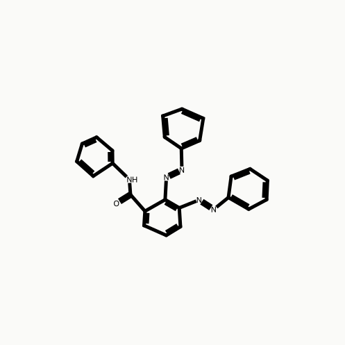 O=C(Nc1ccccc1)c1cccc(N=Nc2ccccc2)c1N=Nc1ccccc1